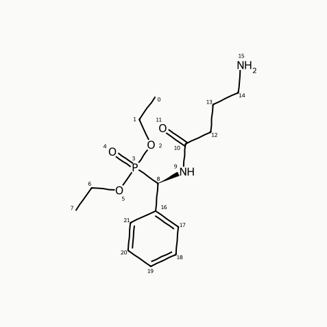 CCOP(=O)(OCC)[C@@H](NC(=O)CCCN)c1ccccc1